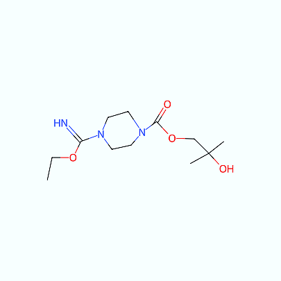 CCOC(=N)N1CCN(C(=O)OCC(C)(C)O)CC1